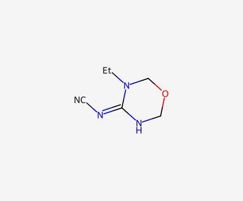 CCN1COCN/C1=N/C#N